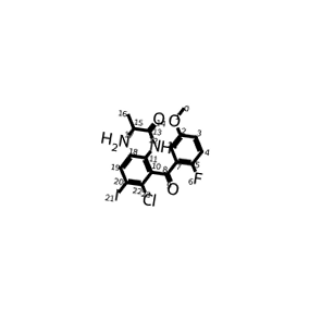 COc1ccc(F)c(C(=O)c2c(NC(=O)C(C)N)ccc(I)c2Cl)c1